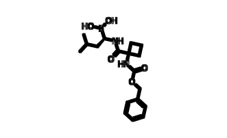 CC(C)C[C@H](NC(=O)C1(NC(=O)OCc2ccccc2)CCC1)B(O)O